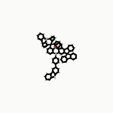 c1ccc2c(c1)-c1ccccc1C21c2ccccc2-c2c1cc(N(c1ccc(-c3ccc4sc5ccccc5c4c3)cc1)c1cccc3c1-c1ccccc1C31c3ccccc3-n3c4ccccc4c4cccc1c43)c1ccccc21